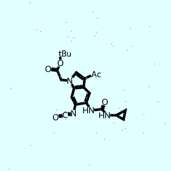 CC(=O)c1cn(CC(=O)OC(C)(C)C)c2cc(N=C=O)c(NC(=O)NC3CC3)cc12